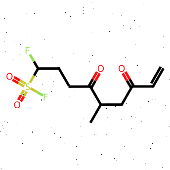 C=CC(=O)CC(C)C(=O)CCC(F)S(=O)(=O)F